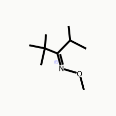 CO/N=C(\C(C)C)C(C)(C)C